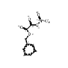 O=C(OCc1ccccc1)C(=O)O[N+](=O)[O-]